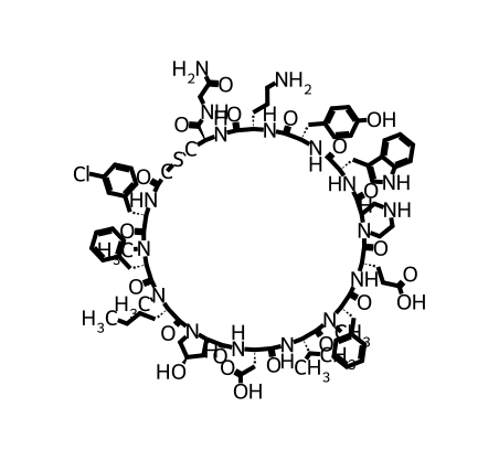 CCCC[C@H]1C(=O)N2C[C@H](O)C[C@@H]2C(=O)N[C@@H](CC(=O)O)C(=O)N[C@@H](C(C)C)C(=O)N(C)[C@@H](Cc2ccccc2)C(=O)N[C@@H](CCC(=O)O)C(=O)N2CCNC[C@@H]2C(=O)N[C@@H](Cc2c[nH]c3ccccc23)C(=O)N[C@@H](Cc2ccc(O)cc2)C(=O)N[C@@H](CCCN)C(=O)N[C@H](C(=O)NCC(N)=O)CSCC(=O)N[C@@H](Cc2cccc(Cl)c2)C(=O)N(C)[C@@H](Cc2ccccc2)C(=O)N1C